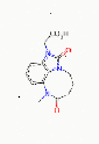 CN1C(=O)CCCn2c(=O)n(CC(=O)O)c3cccc1c32